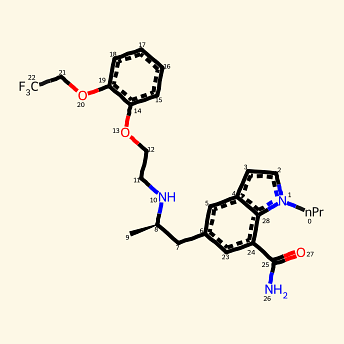 [CH2]CCn1ccc2cc(C[C@@H](C)NCCOc3ccccc3OCC(F)(F)F)cc(C(N)=O)c21